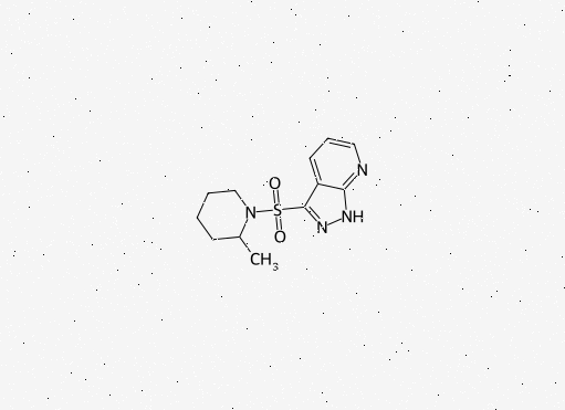 CC1CCCCN1S(=O)(=O)c1n[nH]c2ncccc12